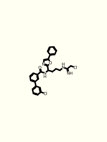 N=C(CCl)NCCCC(NC(=O)c1cccc(-c2cccc(Cl)c2)c1)c1ncc(-c2ccccc2)o1